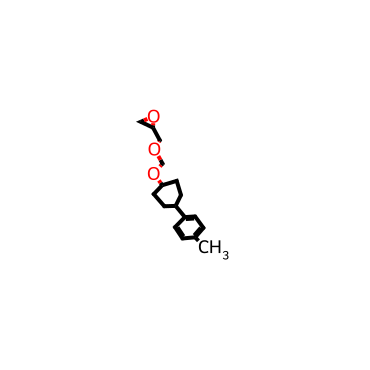 Cc1ccc(C2CCC(OCOCC3CO3)CC2)cc1